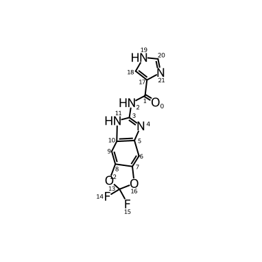 O=C(Nc1nc2cc3c(cc2[nH]1)OC(F)(F)O3)c1c[nH]cn1